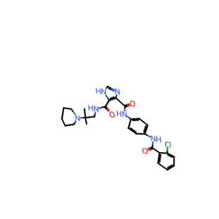 CC(C)(CNC(=O)c1[nH]cnc1C(=O)Nc1ccc(NC(=O)c2ccccc2Cl)cc1)N1CCCCC1